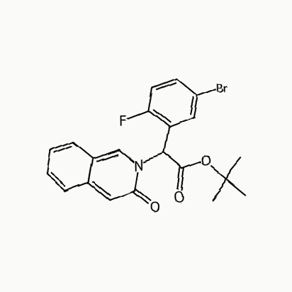 CC(C)(C)OC(=O)C(c1cc(Br)ccc1F)n1cc2ccccc2cc1=O